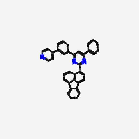 c1ccc(-c2cc(-c3cccc(-c4ccncc4)c3)nc(-c3ccc4c5c(cccc35)-c3ccccc3-4)n2)cc1